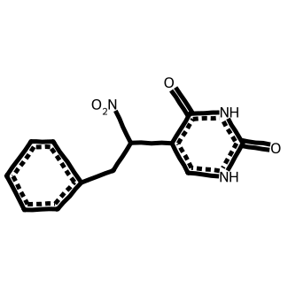 O=c1[nH]cc(C(Cc2ccccc2)[N+](=O)[O-])c(=O)[nH]1